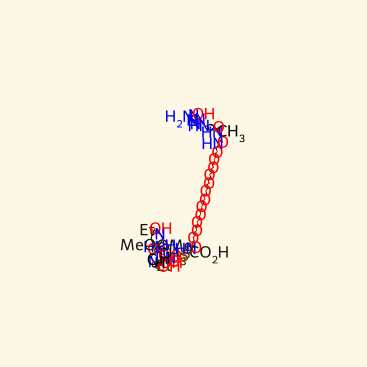 CC[C@]1(O)CC2CCN(CCc3c([nH]c4ccccc34)[C@@](C(=O)OC)(c3cc4c(cc3OC)N(C)[C@@H]3C[C@H]5N(CC=C[C@@]5(CC)[C@@H](O)[C@]3(O)C(=O)CNC(=O)OCCSSC[C@H](NC(=O)CCOCCOCCOCCOCCOCCOCCOCCOCCOCCOCCOCCOCCNC(=O)CC[C@@H](C)NC(=O)c3ccc(NCc5cnc6nc(N)nc(O)c6n5)cc3)C(=O)O)CCC4)CC2)C1